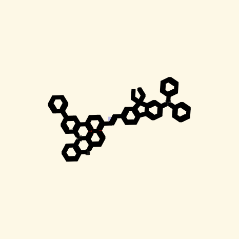 CCC1(CC)c2cc(/C=C/c3ccc(-c4cc(C5=CCCC=C5)ccc4N4C5=C(C=CCC5)Sc5ccccc54)cc3)ccc2-c2ccc(N(c3ccccc3)c3ccccc3)cc21